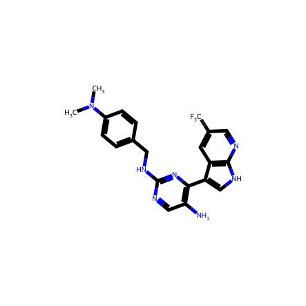 CN(C)c1ccc(CNc2ncc(N)c(-c3c[nH]c4ncc(C(F)(F)F)cc34)n2)cc1